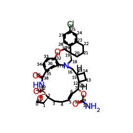 CC[C@@H]1CC/C=C/[C@H](OC(N)=O)[C@@H]2CC[C@H]2CN2C[C@@]3(CCCc4cc(Cl)ccc43)COc3ccc(cc32)C(=O)NS1(=O)=O